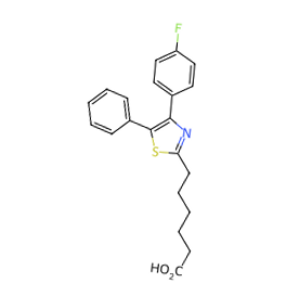 O=C(O)CCCCCc1nc(-c2ccc(F)cc2)c(-c2ccccc2)s1